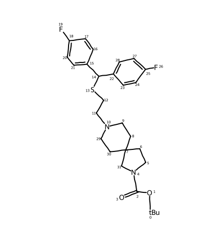 CC(C)(C)OC(=O)N1CCC2(CCN(CCSC(c3ccc(F)cc3)c3ccc(F)cc3)CC2)C1